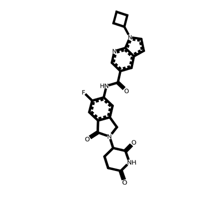 O=C1CCC(N2Cc3cc(NC(=O)c4cnc5c(ccn5C5CCC5)c4)c(F)cc3C2=O)C(=O)N1